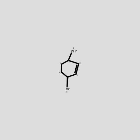 CCCC1C=CC(C(C)=O)CC1